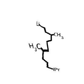 [Li][CH2]CC(C)CCCC(C)CCCC(C)C